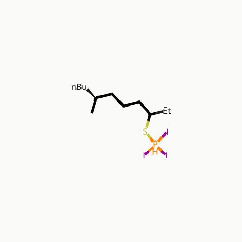 CCCC[C@H](C)CCCC(CC)S[PH](I)(I)I